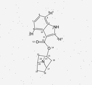 [2H]c1[nH]c2c([2H])ccc([2H])c2c1C(=O)OC1CC2CCC(C1)N2C